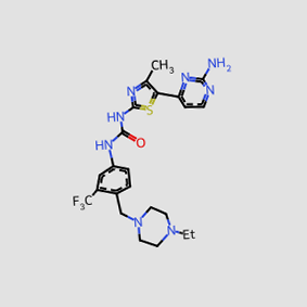 CCN1CCN(Cc2ccc(NC(=O)Nc3nc(C)c(-c4ccnc(N)n4)s3)cc2C(F)(F)F)CC1